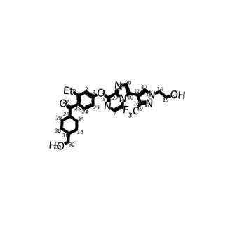 CCc1cc(Oc2nccn3c(-c4cn(CCO)nc4C(F)(F)F)cnc23)ccc1C(=O)C1CCC(CO)CC1